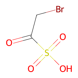 O=C(CBr)S(=O)(=O)O